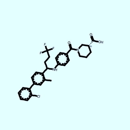 Cc1cc(-c2ccccc2Cl)ccc1C(CCC(F)(F)F)Nc1ccc(C(=O)N2CCC[C@@H](C(=O)O)C2)cc1